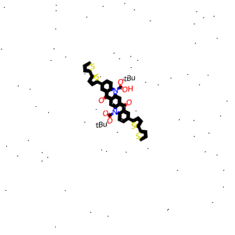 CC(C)(C)OC(=O)n1c2ccc(-c3ccc(-c4cccs4)s3)cc2c(=O)c2cc3c(cc21)c(=O)c1cc(-c2ccc(-c4cccs4)s2)ccc1n3C(O)OC(C)(C)C